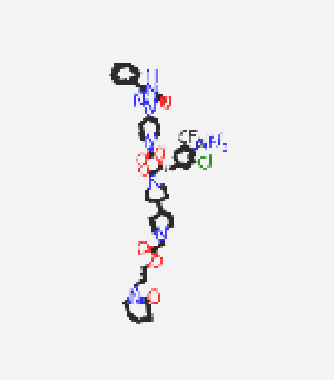 Nc1c(Cl)cc(C[C@@H](OC(=O)N2CCC(n3nc(-c4ccccc4)[nH]c3=O)CC2)C(=O)N2CCC(C3CCN(CC(=O)OCCCN4CCCCC4=O)CC3)CC2)cc1C(F)(F)F